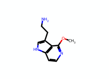 COc1nccc2[nH]cc(CCN)c12